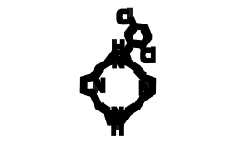 Clc1ccc(Cl)c(-c2cc3cc4nc(cc5ccc(cc6nc(cc2[nH]3)C=C6)[nH]5)C=C4)c1